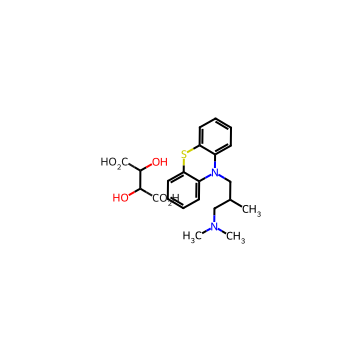 CC(CN(C)C)CN1c2ccccc2Sc2ccccc21.O=C(O)C(O)C(O)C(=O)O